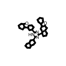 c1ccc2cc(C3N=C(c4cccc5cc6oc7ccccc7c6cc45)N=C(c4ccc5oc6ccccc6c5c4)N3)ccc2c1